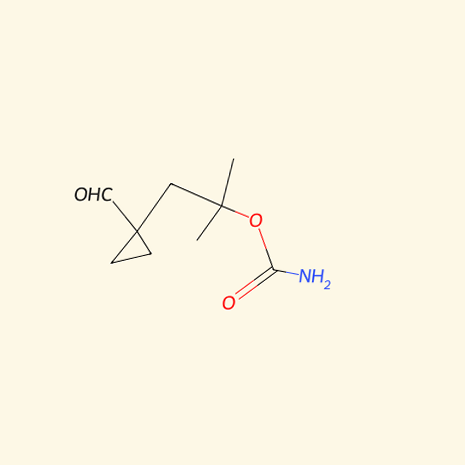 CC(C)(CC1(C=O)CC1)OC(N)=O